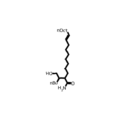 CCCCCCCCC=CCCCCCCCC(C(N)=O)C(CO)CCCC